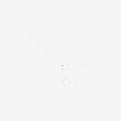 CCCCCCCCCCCCCCCCCCCCCCCCCC(=O)N[C@@H](CO[C@@H]1O[C@H](CO)[C@H](O)[C@H](O)[C@H]1O)[C@H](O)[C@@H](O)CCCCCCCCCCCCCC